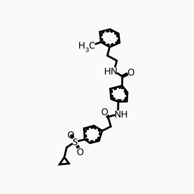 Cc1ccccc1CCNC(=O)c1ccc(NC(=O)Cc2ccc(S(=O)(=O)CC3CC3)cc2)cc1